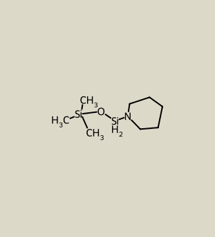 C[Si](C)(C)O[SiH2]N1CCCCC1